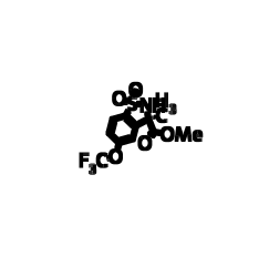 COC(=O)[C@]1(C)NS(=O)(=O)c2ccc(OC(F)(F)F)cc21